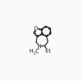 CCC1Cc2cccc3occ(c23)CN1C